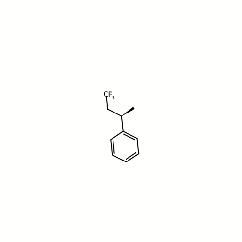 C[C@H](CC(F)(F)F)c1ccccc1